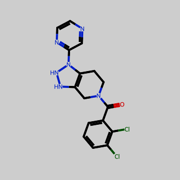 O=C(c1cccc(Cl)c1Cl)N1CCC2=C(C1)NNN2c1cnccn1